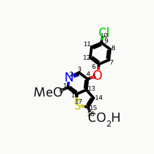 COc1ncc(Oc2ccc(Cl)cc2)c2cc(C(=O)O)sc12